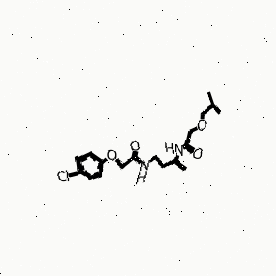 C=C(CCNC(=O)COc1ccc(Cl)cc1)NC(=O)COCC(C)C